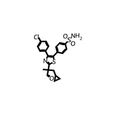 CC(C=O)(CC1CC1)c1nc(-c2ccc(Cl)cc2)c(-c2ccc(S(N)(=O)=O)cc2)s1